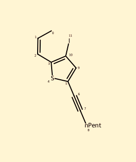 C/C=C\c1sc(C#CCCCCC)cc1I